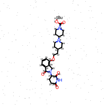 CC(C)(C)OC(=O)N1CCC(N2CCC(CCOc3cccc4c3CN(C3CCC(=O)NC3=O)C4=O)CC2)CC1